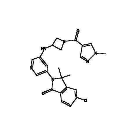 Cn1cc(C(=O)N2CC(Nc3cncc(N4C(=O)c5ccc(Cl)cc5C4(C)C)c3)C2)cn1